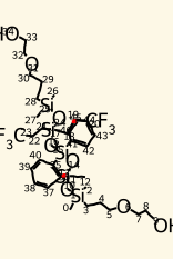 C[Si](C)(CCCOCCO)O[Si](C)(C)O[Si](O[Si](CCC(F)(F)F)(CCC(F)(F)F)O[Si](C)(C)CCCOCCO)(c1ccccc1)c1ccccc1